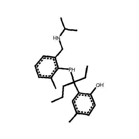 CCCC(CC)(Pc1c(C)cccc1CNC(C)C)c1cc(C)ccc1O